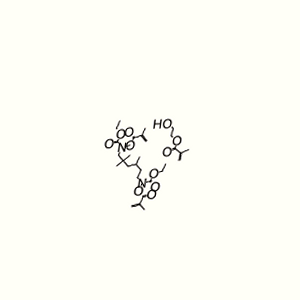 C=C(C)C(=O)OCCO.C=C(C)C(=O)ON(CCC(C)CC(C)(C)CN(OC(=O)C(=C)C)C(=O)OCC)C(=O)OCC